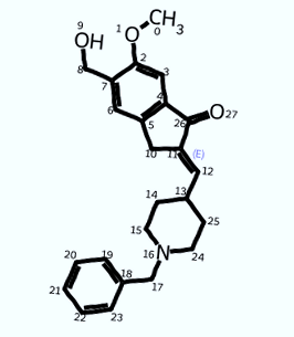 COc1cc2c(cc1CO)C/C(=C\C1CCN(Cc3ccccc3)CC1)C2=O